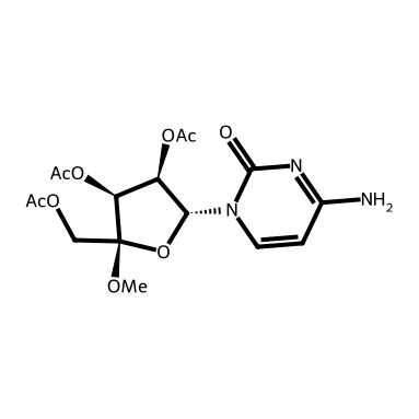 CO[C@]1(COC(C)=O)O[C@@H](n2ccc(N)nc2=O)[C@H](OC(C)=O)[C@@H]1OC(C)=O